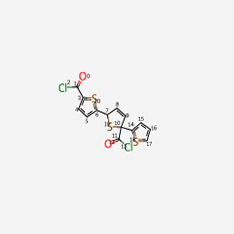 O=C(Cl)c1ccc(C2C=CC(C(=O)Cl)(c3cccs3)S2)s1